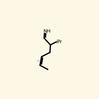 C/C=C\CC(C=N)C(C)C